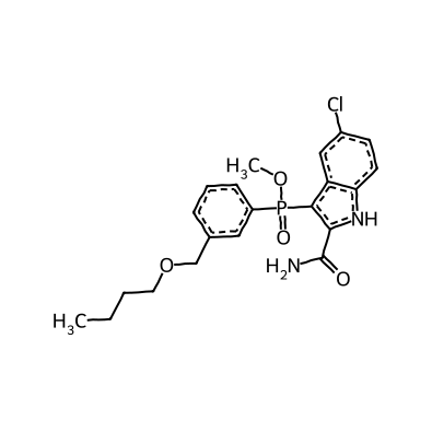 CCCCOCc1cccc(P(=O)(OC)c2c(C(N)=O)[nH]c3ccc(Cl)cc23)c1